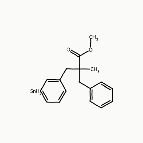 COC(=O)C(C)(Cc1ccccc1)Cc1ccccc1.[SnH2]